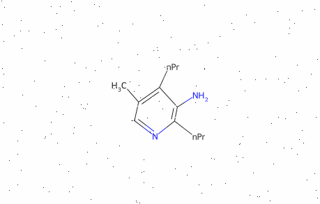 CCCc1n[c]c(C)c(CCC)c1N